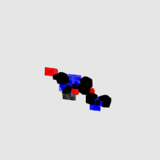 CC(C)(C)c1cc(NC(=O)N[C@H]2CC[C@@H](Oc3ccc4nnc(N5CCCCC5)n4c3)c3ccccc32)n(-c2cccc(CO)c2)n1